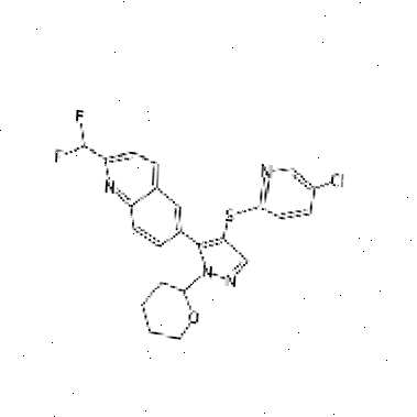 FC(F)c1ccc2cc(-c3c(Sc4ccc(Cl)cn4)cnn3C3CCCCO3)ccc2n1